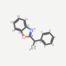 CCC(c1ccccc1)c1nc2ccccc2o1